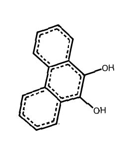 Oc1c(O)c2ccccc2c2ccc[c]c12